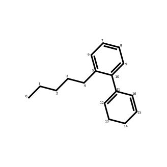 CCCCCc1ccccc1C1=CCCC=C1